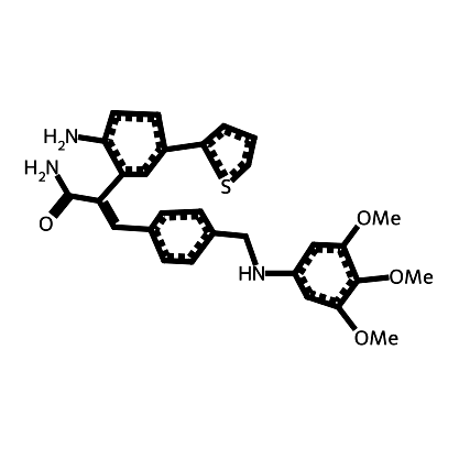 COc1cc(NCc2ccc(C=C(C(N)=O)c3cc(-c4cccs4)ccc3N)cc2)cc(OC)c1OC